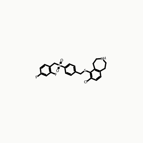 O=S(=O)(Cc1ccc(F)cc1F)c1ccc(CSc2c(Cl)ccc3c2CCNCC3)cc1